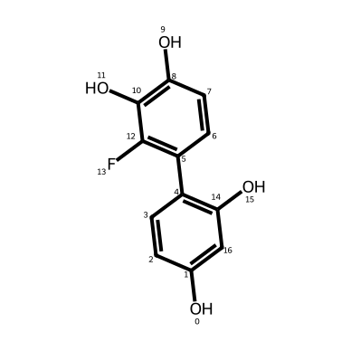 Oc1ccc(-c2ccc(O)c(O)c2F)c(O)c1